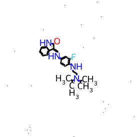 CC(C)N(CCNc1ccc(N/C=C2/C(=O)Nc3ccccc32)cc1F)C(C)C